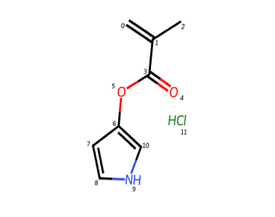 C=C(C)C(=O)Oc1cc[nH]c1.Cl